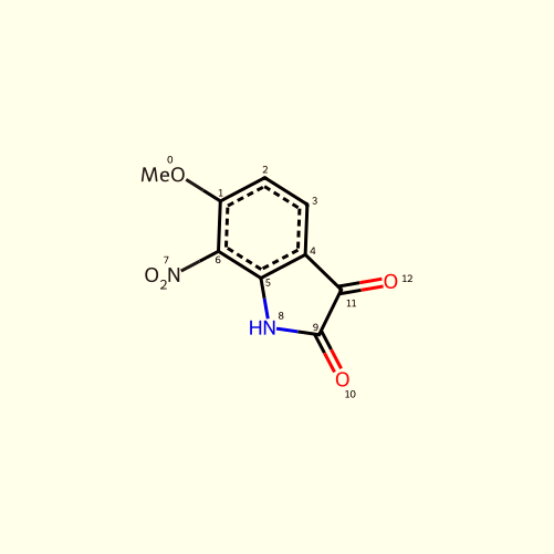 COc1ccc2c(c1[N+](=O)[O-])NC(=O)C2=O